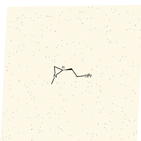 CCCCC[C@@H]1CN1C